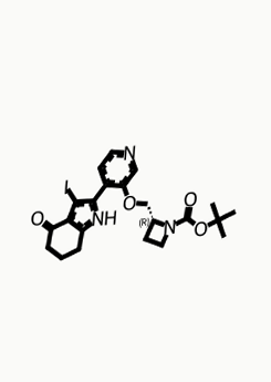 CC(C)(C)OC(=O)N1CC[C@@H]1COc1cnccc1-c1[nH]c2c(c1I)C(=O)CCC2